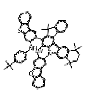 CC(C)(C)c1ccc(Nc2cc3sc4ccccc4c3cc2-c2c3c(c4c5cc6c(cc5n5c4c2Bc2cc4oc7ccccc7c4cc2-5)C(C)(C)CCC6(C)C)-c2ccccc2C3(C)C)cc1